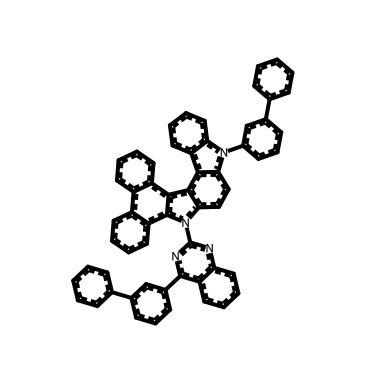 c1ccc(-c2cccc(-c3nc(-n4c5ccc6c(c7ccccc7n6-c6cccc(-c7ccccc7)c6)c5c5c6ccccc6c6ccccc6c54)nc4ccccc34)c2)cc1